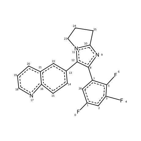 Fc1cc(F)c(F)c(-c2nc3n(c2-c2ccc4ncccc4c2)CCC3)c1